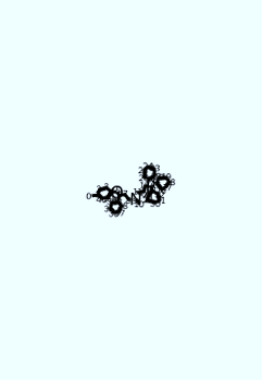 Cc1ccc(OC(CCN(C)CCC=P(c2ccccc2)(c2ccccc2)c2ccccc2)c2ccccc2)cc1